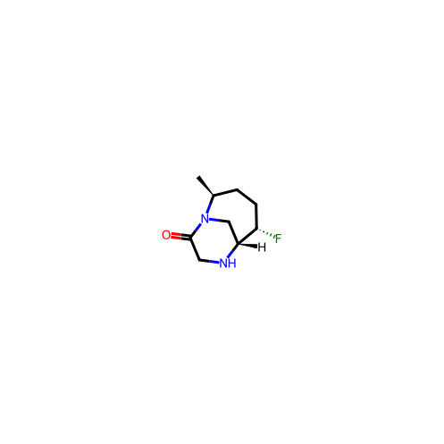 C[C@H]1CC[C@H](F)[C@H]2CN1C(=O)CN2